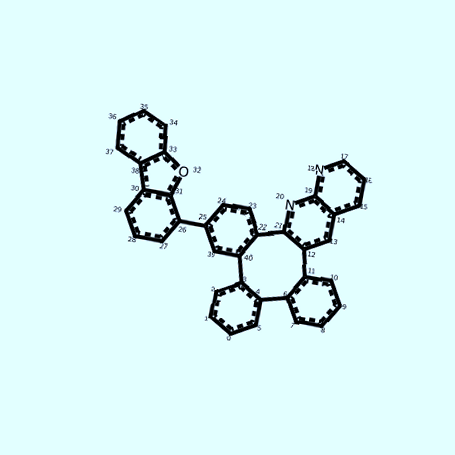 c1ccc2c(c1)-c1ccccc1-c1cc3cccnc3nc1-c1ccc(-c3cccc4c3oc3ccccc34)cc1-2